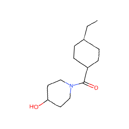 CCC1CCC(C(=O)N2CCC(O)CC2)CC1